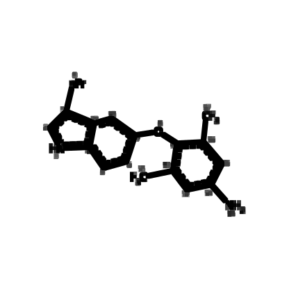 CCCc1c[nH]c2ccc(Oc3c(C(F)(F)F)cc(N)cc3C(F)(F)F)cc12